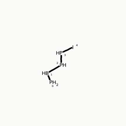 PBPPI